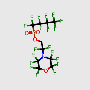 O=S(=O)(OCC(F)(F)N1C(F)(F)C(F)(F)OC(F)(F)C1(F)F)C(F)(F)C(F)(F)C(F)(F)C(F)(F)F